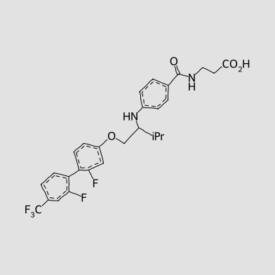 CC(C)C(COc1ccc(-c2ccc(C(F)(F)F)cc2F)c(F)c1)Nc1ccc(C(=O)NCCC(=O)O)cc1